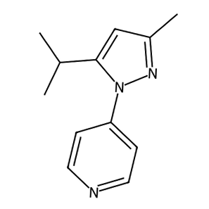 Cc1cc(C(C)C)n(-c2ccncc2)n1